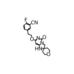 N#Cc1cc(CCOc2cc3n(c(=O)n2)CC2(CCOCC2)N3)ccc1F